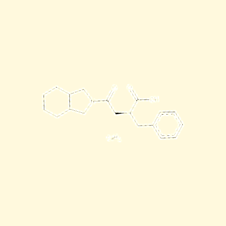 O=C(O)[C@H](CC(=O)N1CC2CCCCC2C1)Cc1ccccc1.[CaH2]